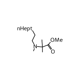 CCCCCCCCCN(C)C(C)(C)C(=O)OC